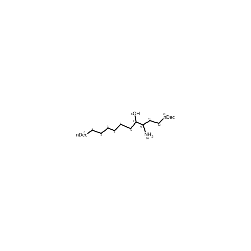 CCCCCCCCCCCCCCCCC(O)C(N)CCCCCCCCCCCC